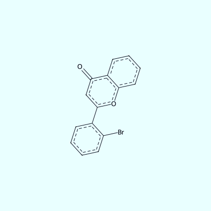 O=c1cc(-c2ccccc2Br)oc2ccccc12